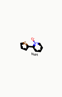 [NaH].[O-][n+]1ccccc1-c1cccs1